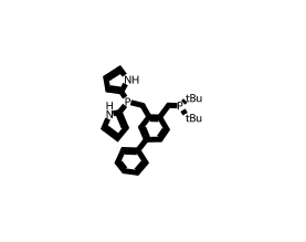 CC(C)(C)P(Cc1ccc(-c2ccccc2)cc1CP(c1ccc[nH]1)c1ccc[nH]1)C(C)(C)C